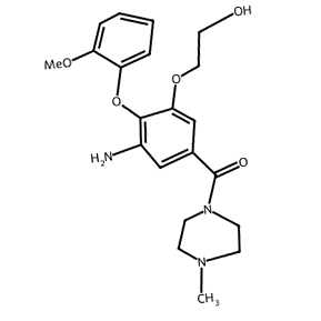 COc1ccccc1Oc1c(N)cc(C(=O)N2CCN(C)CC2)cc1OCCO